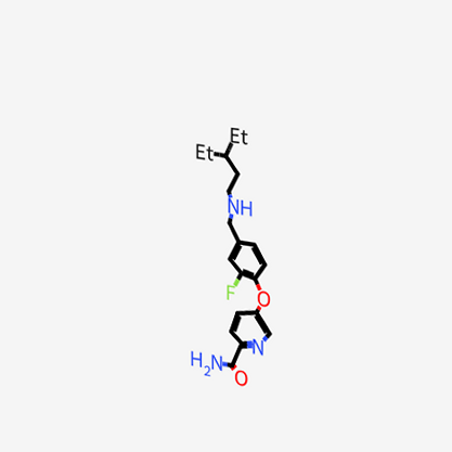 CCC(CC)CCNCc1ccc(Oc2ccc(C(N)=O)nc2)c(F)c1